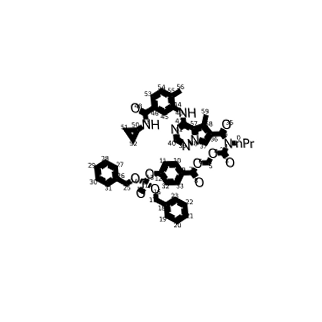 CCCN(C(=O)OCOC(=O)c1ccc(OP(=O)(OCc2ccccc2)OCc2ccccc2)cc1)C(=O)c1cn2ncnc(Nc3cc(C(=O)NC4CC4)ccc3C)c2c1C